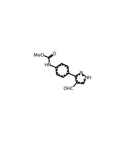 COC(=O)Nc1ccc(-c2n[nH]cc2C=O)cc1